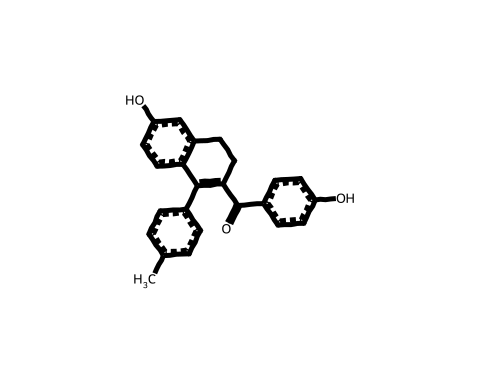 Cc1ccc(C2=C(C(=O)c3ccc(O)cc3)CCc3cc(O)ccc32)cc1